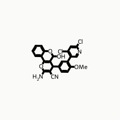 COc1ccc(C2C(C#N)=C(N)OC3=C2C(O)Oc2ccccc23)cc1-c1cnc(Cl)cc1Cl